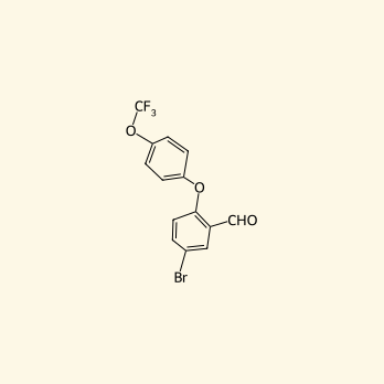 O=Cc1cc(Br)ccc1Oc1ccc(OC(F)(F)F)cc1